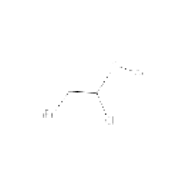 CCCCC(Cl)OC(C)=O